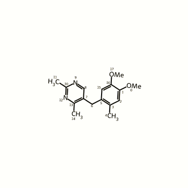 COc1cc(C)c(Cc2cnc(C)nc2C)cc1OC